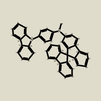 CN(c1ccc(-n2c3ccccc3c3ccccc32)cc1)c1ccc2c(c1)C1(c3ccccc3-c3ccccc31)c1ccccc1-2